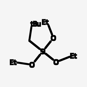 CCO[Si](CC(C)(C)C)(OCC)OCC